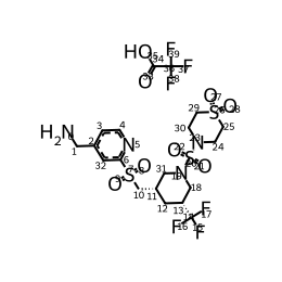 NCc1ccnc(S(=O)(=O)C[C@H]2C[C@@H](C(F)(F)F)CN(S(=O)(=O)N3CCS(=O)(=O)CC3)C2)c1.O=C(O)C(F)(F)F